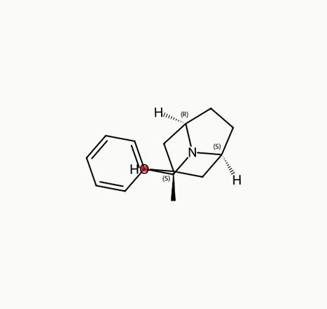 C[C@@]1(O)C[C@H]2CC[C@@H](C1)N2Cc1ccccc1